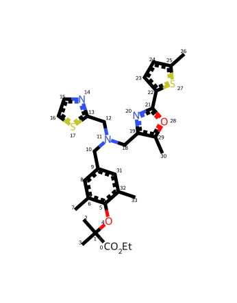 CCOC(=O)C(C)(C)Oc1c(C)cc(CN(Cc2nccs2)Cc2nc(-c3ccc(C)s3)oc2C)cc1C